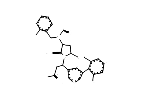 Cc1ccccc1CN(C=O)C1CC(C)N(C(CC(=O)O)c2cncc(-c3c(C)cccc3C)c2)C1=O